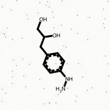 NNc1ccc(CC(O)CO)cc1